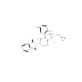 Cc1ccc(O)c2c1[C@]13CC4[C@@H](N4CC4CC4)[C@]1(O)CC[C@@H](N1C(=O)c4ccc(N)cc4C1=O)[C@@H]3O2